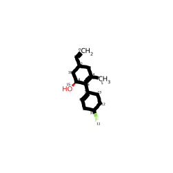 C=CC1CC(C)=C(C2=CCC(F)CC2)[C@@H](O)C1